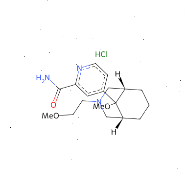 COCCN1C[C@H]2CCC[C@@H](C1)C2(OC)c1ccnc(C(N)=O)c1.Cl